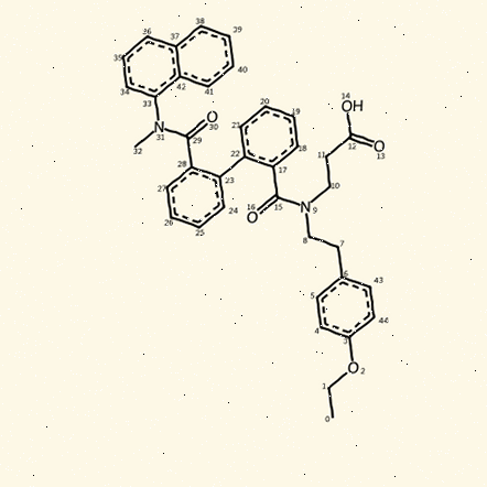 CCOc1ccc(CCN(CCC(=O)O)C(=O)c2ccccc2-c2ccccc2C(=O)N(C)c2cccc3ccccc23)cc1